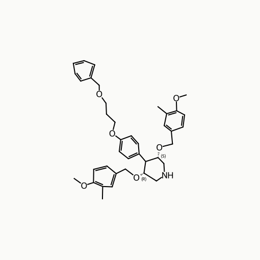 COc1ccc(CO[C@H]2CNC[C@@H](OCc3ccc(OC)c(C)c3)C2c2ccc(OCCCOCc3ccccc3)cc2)cc1C